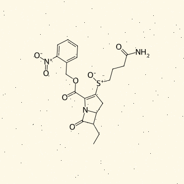 CCC1C(=O)N2C(C(=O)OCc3ccccc3[N+](=O)[O-])=C([S+]([O-])CCCC(N)=O)CC12